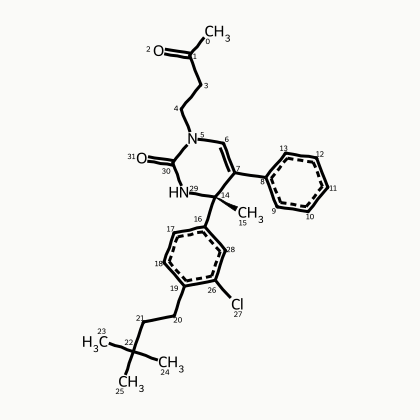 CC(=O)CCN1C=C(c2ccccc2)[C@](C)(c2ccc(CCC(C)(C)C)c(Cl)c2)NC1=O